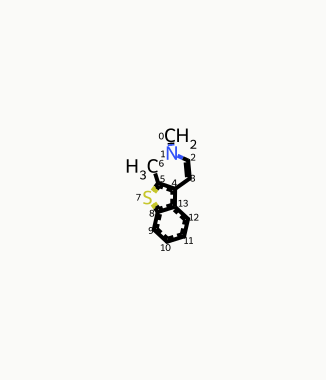 C=N/C=C\c1c(C)sc2ccccc12